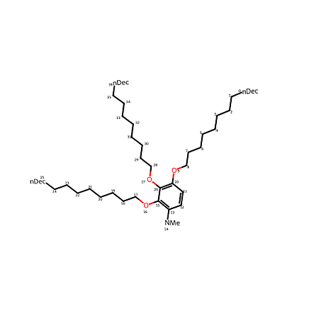 CCCCCCCCCCCCCCCCCCOc1ccc(NC)c(OCCCCCCCCCCCCCCCCCC)c1OCCCCCCCCCCCCCCCCCC